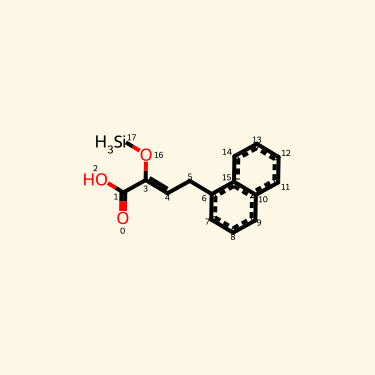 O=C(O)C(=CCc1cccc2ccccc12)O[SiH3]